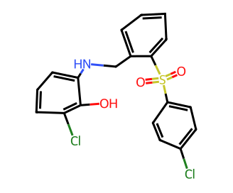 O=S(=O)(c1ccc(Cl)cc1)c1ccccc1CNc1cccc(Cl)c1O